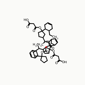 CCC1CC=CCC1C1(OC(=O)CC(=O)O)CCC(C(C)C2C3C=CC(C3)C2C2(OC(=O)CC(=O)O)CCC(C(C)C3C4C=CC(CC4)C3C3(OC(=O)CC(=O)O)CCCC3)C2)C1